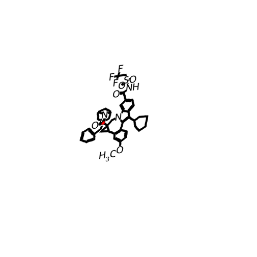 COc1ccc2c(c1)C1CC1(C(=O)N1C3CC1CN(Cc1ccccc1)C3)Cn1c-2c(C2CCCCC2)c2ccc(C(=O)NS(=O)(=O)CC(F)(F)F)cc21